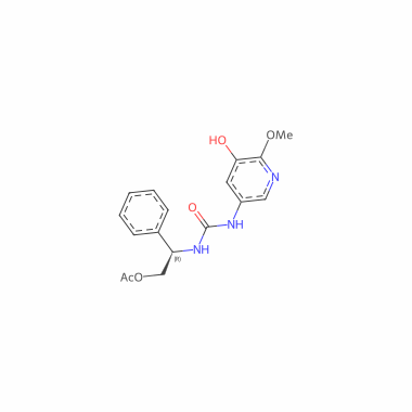 COc1ncc(NC(=O)N[C@@H](COC(C)=O)c2ccccc2)cc1O